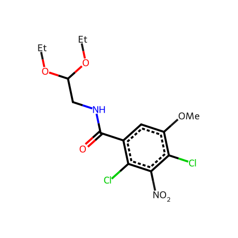 CCOC(CNC(=O)c1cc(OC)c(Cl)c([N+](=O)[O-])c1Cl)OCC